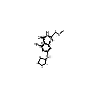 CSCc1nc2cc(NC3CCCC3)cc(F)c2c(=O)[nH]1